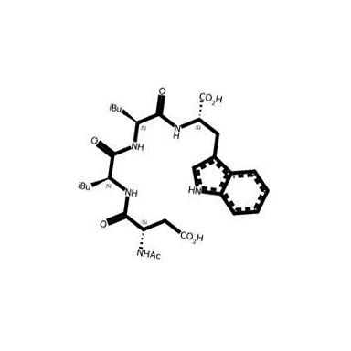 CCC(C)[C@H](NC(=O)[C@H](CC(=O)O)NC(C)=O)C(=O)N[C@H](C(=O)N[C@@H](Cc1c[nH]c2ccccc12)C(=O)O)C(C)CC